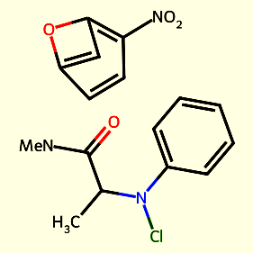 CNC(=O)C(C)N(Cl)c1ccccc1.O=[N+]([O-])c1ccc2cc1O2